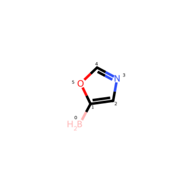 Bc1cnco1